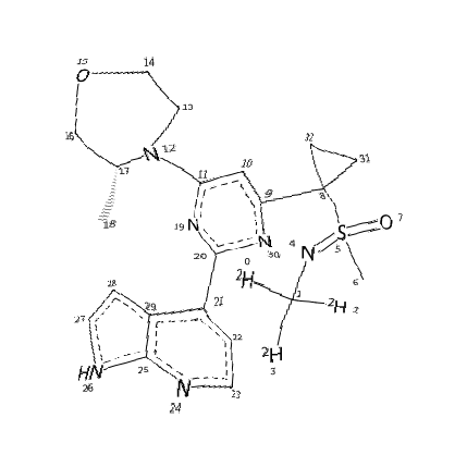 [2H]C([2H])([2H])N=S(C)(=O)C1(c2cc(N3CCOC[C@H]3C)nc(-c3ccnc4[nH]ccc34)n2)CC1